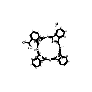 ClC(Cl)c1cccc2c3nc4nc(nc5[nH]c(nc6nc(nc([nH]3)c12)-c1ccccc1-6)c1ccccc51)-c1ccccc1-4.[Ni]